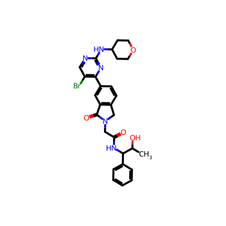 CC(O)C(NC(=O)CN1Cc2ccc(-c3nc(NC4CCOCC4)ncc3Br)cc2C1=O)c1ccccc1